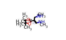 CN/C=C(\CNC)B1OC(C)(C)C(C)(C)O1